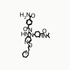 CC(C)NC(=O)C1CCC(n2c(=NC(=O)c3ccc(C(N)=O)cc3)[nH]c3cnc(OCCN4CCCCC4)cc32)CC1